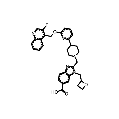 O=C(O)c1ccc2nc(CN3CCC(c4cccc(OCc5c(F)cnc6ccccc56)n4)CC3)n(CC3CCO3)c2c1